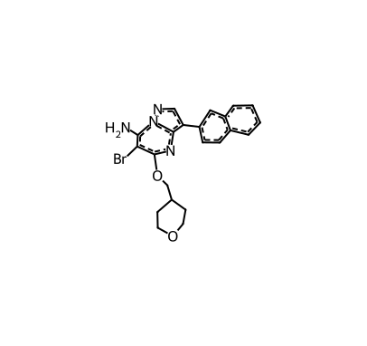 Nc1c(Br)c(OCC2CCOCC2)nc2c(-c3ccc4ccccc4c3)cnn12